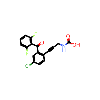 O=C(O)NCC#Cc1ccc(Cl)cc1C(=O)c1c(F)cccc1F